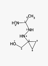 CC(N)NNC1(CO)CC1